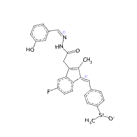 CC1=C(CC(=O)N/N=C\c2cccc(O)c2)c2cc(F)ccc2/C1=C\c1ccc([S+](C)[O-])cc1